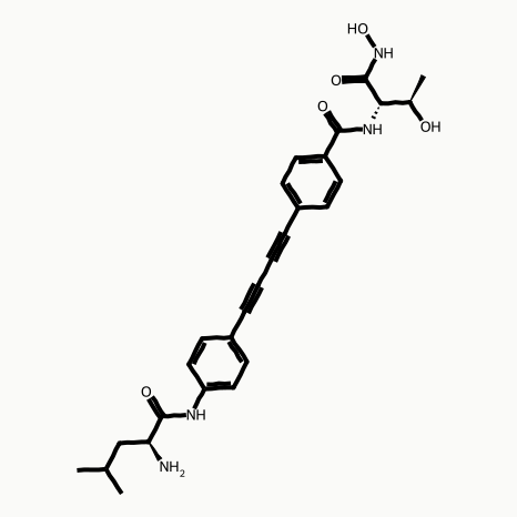 CC(C)C[C@H](N)C(=O)Nc1ccc(C#CC#Cc2ccc(C(=O)N[C@H](C(=O)NO)[C@@H](C)O)cc2)cc1